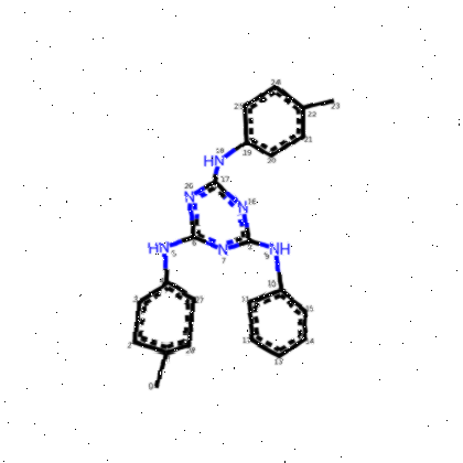 Cc1ccc(Nc2nc(Nc3ccccc3)nc(Nc3ccc(C)cc3)n2)cc1